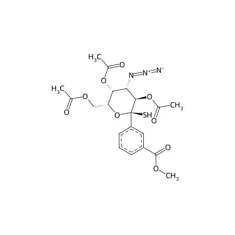 COC(=O)c1cccc([C@]2(S)O[C@H](COC(C)=O)[C@H](OC(C)=O)[C@H](N=[N+]=[N-])[C@H]2OC(C)=O)c1